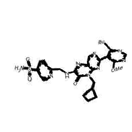 CCC(C)c1ncnc(OC)c1-c1ncc2nc(NCc3ccc(S(N)(=O)=O)cn3)c(=O)n(CC3CCC3)c2n1